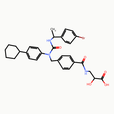 CC(NC(=O)N(Cc1ccc(C(=O)NCC(O)C(=O)O)cc1)c1ccc(C2CCCCC2)cc1)c1ccc(Br)cc1